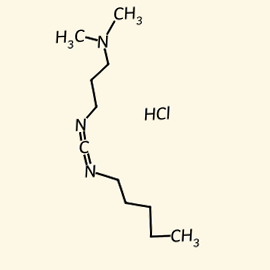 CCCCCN=C=NCCCN(C)C.Cl